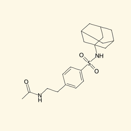 CC(=O)NCCc1ccc(S(=O)(=O)NC23CC4CC(CC(C4)C2)C3)cc1